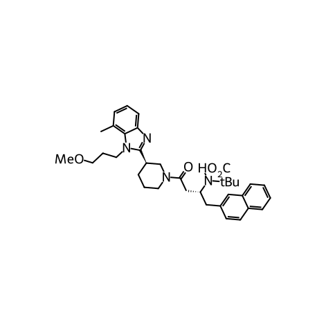 COCCCn1c([C@@H]2CCCN(C(=O)C[C@@H](Cc3ccc4ccccc4c3)N(C(=O)O)C(C)(C)C)C2)nc2cccc(C)c21